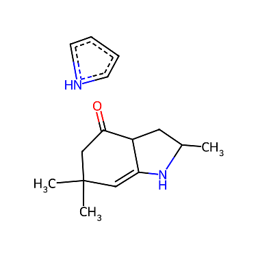 CC1CC2C(=O)CC(C)(C)C=C2N1.c1cc[nH]c1